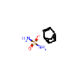 C1=CC2=CC=C1C2.NS(N)(=O)=O